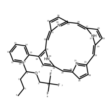 CCCC(OCC(F)(F)F)[n+]1ccccc1-c1cc2cc3nc(cc4ccc(cc5nc(cc1[nH]2)C=C5)[nH]4)C=C3